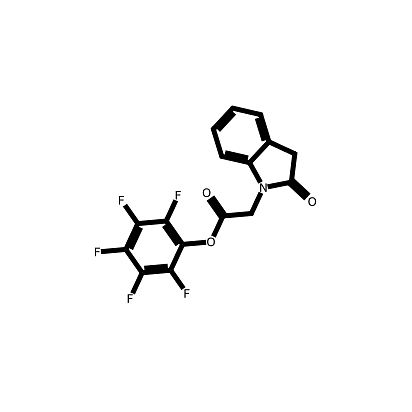 O=C(CN1C(=O)Cc2ccccc21)Oc1c(F)c(F)c(F)c(F)c1F